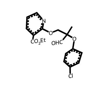 CCOC(=O)c1cccnc1OCC(C)(C=O)Oc1ccc(Cl)cc1